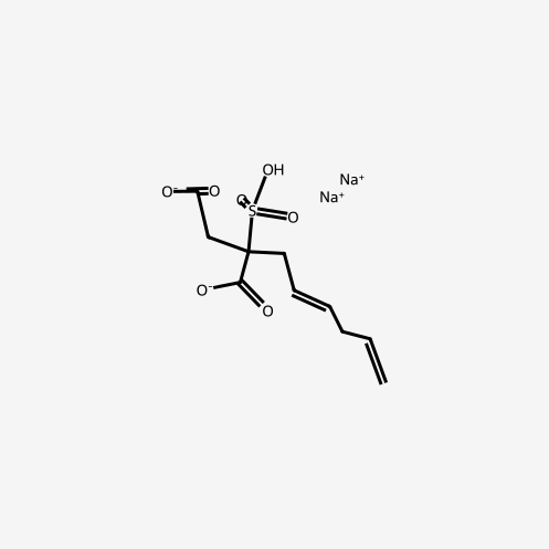 C=CCC=CCC(CC(=O)[O-])(C(=O)[O-])S(=O)(=O)O.[Na+].[Na+]